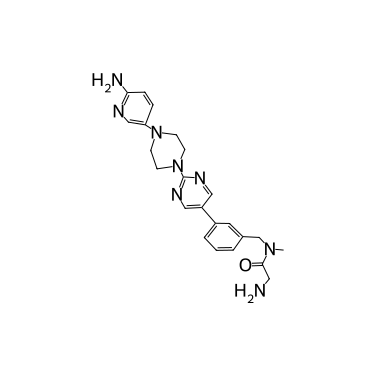 CN(Cc1cccc(-c2cnc(N3CCN(c4ccc(N)nc4)CC3)nc2)c1)C(=O)CN